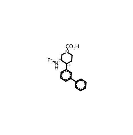 CC(C)N[C@@H]1CN(C(=O)O)CC[C@H]1c1cccc(-c2ccccc2)c1